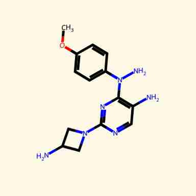 COc1ccc(N(N)c2nc(N3CC(N)C3)ncc2N)cc1